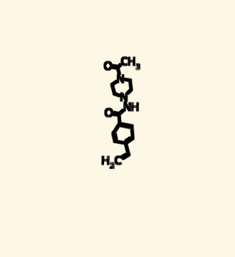 C=Cc1ccc(C(=O)NN2CCN(C(C)=O)CC2)cc1